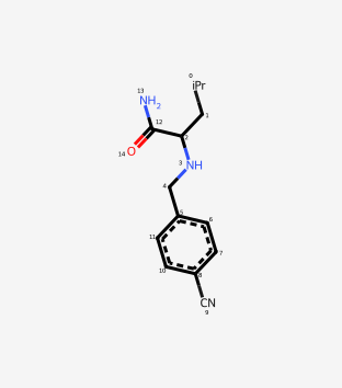 CC(C)CC(NCc1ccc(C#N)cc1)C(N)=O